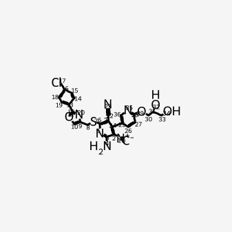 [C-]#[N+]c1c(N)nc(SCc2coc(-c3ccc(Cl)cc3)n2)c(C#N)c1-c1ccc(OC[C@@H](O)CO)nc1